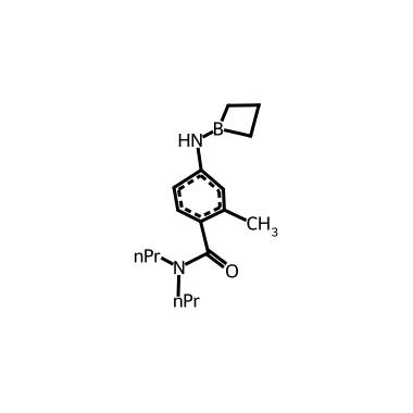 CCCN(CCC)C(=O)c1ccc(NB2CCC2)cc1C